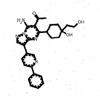 CC(=O)c1c(C2CCC(O)(CCO)CC2)nc2c(-c3ccc(-c4ccccc4)nc3)cnn2c1N